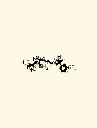 Cc1ncoc1-c1nnc(SCCCN2C[C@@H]3C[C@]3(c3cccc(C(F)(F)F)c3)C2)n1C